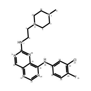 CN1CCN(CCNc2ncc3ncnc(Nc4ccc(F)c(Cl)c4)c3n2)CC1